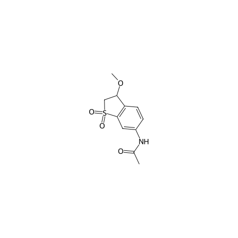 COC1CS(=O)(=O)c2cc(NC(C)=O)ccc21